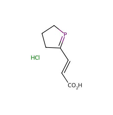 Cl.O=C(O)C=CC1=PCCC1